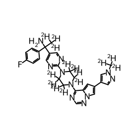 [2H]C([2H])([2H])n1cc(-c2cc3c(N4C([2H])([2H])C([2H])([2H])N(c5ncc(C(N)(c6ccc(F)cc6)C([2H])([2H])[2H])cn5)C([2H])([2H])C4([2H])[2H])ncnn3c2)cn1